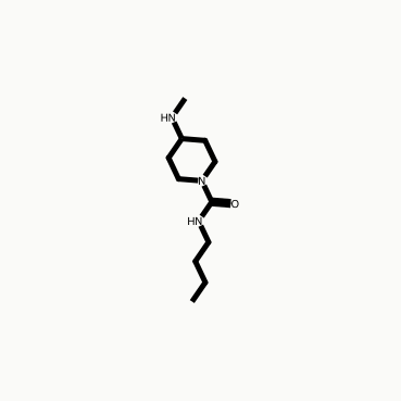 CCCCNC(=O)N1CCC(NC)CC1